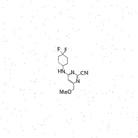 COCc1cc(NC2CCC(F)(F)CC2)nc(C#N)n1